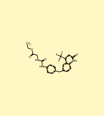 CCOC(=O)CNC(=O)Nc1ccc(Cc2ccc3[nH]c(=O)cc(C(F)(F)F)c3c2)cc1